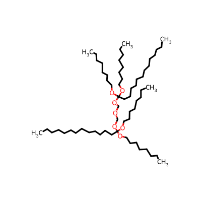 CCCCCCCCCCCCCC(OCCCCCCCC)(OCCCCCCCC)OCOCOC(CCCCCCCCCCCCC)(OCCCCCCCC)OCCCCCCCC